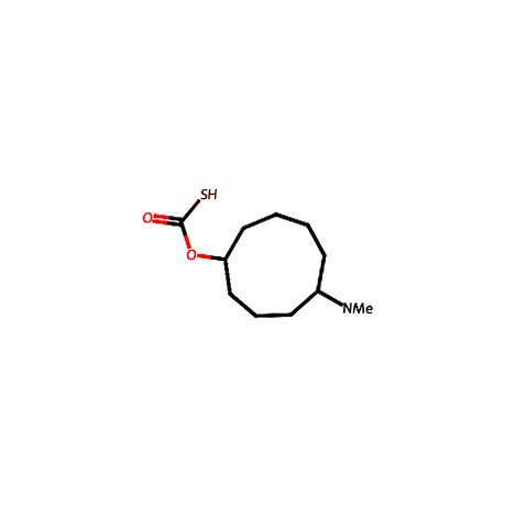 CNC1CCCCC(OC(=O)S)CCC1